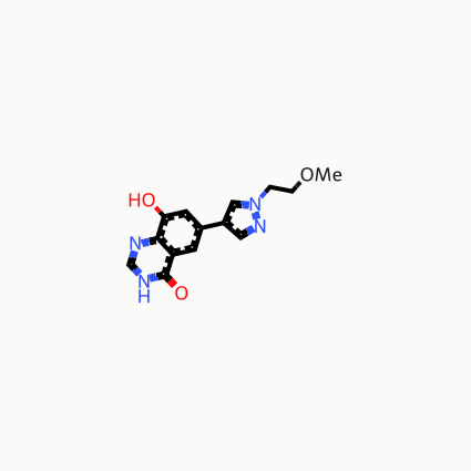 COCCn1cc(-c2cc(O)c3nc[nH]c(=O)c3c2)cn1